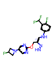 N=N/C(=C\Nc1ccc(F)c(C(F)F)c1)COc1ncc(N2CC(F)C2)cn1